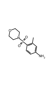 Cc1cc(N)ccc1S(=O)(=O)N1CCOCC1